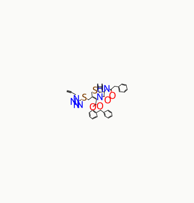 C#CCn1nnnc1SCC1=C(C(=O)OC(c2ccccc2)c2ccccc2)N2C(=O)C(NC(=O)Cc3ccccc3)[C@@H]2SC1